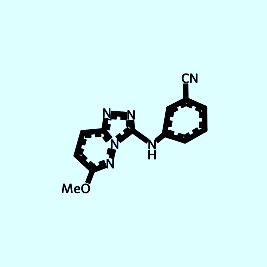 COc1ccc2nnc(Nc3cccc(C#N)c3)n2n1